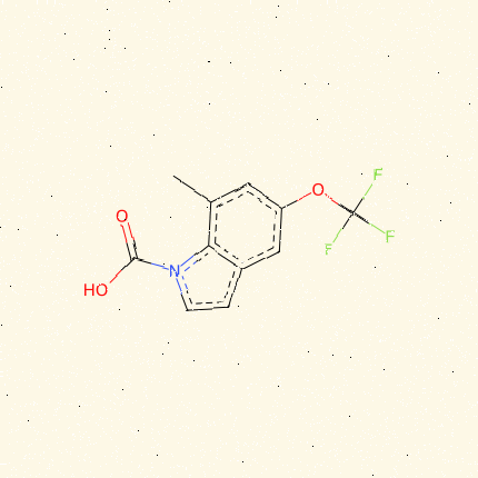 Cc1cc(OC(F)(F)F)cc2ccn(C(=O)O)c12